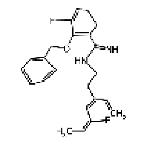 C=C/C(=C\C(F)=C/C)CCNC(=N)C1=C(OCc2ccccc2)C(F)=CCC1